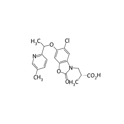 Cc1ccc(C(C)Oc2cc3oc(=O)n(C[C@@H](C)C(=O)O)c3cc2Cl)nc1